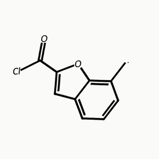 [CH2]c1cccc2cc(C(=O)Cl)oc12